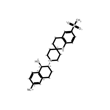 CS(=O)(=O)c1ccc2c(c1)CCC1(CCN([C@@H]3CCc4cc(C#N)ccc4[C@H]3O)CC1)O2